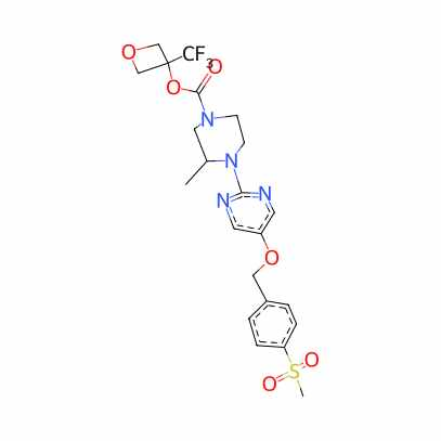 CC1CN(C(=O)OC2(C(F)(F)F)COC2)CCN1c1ncc(OCc2ccc(S(C)(=O)=O)cc2)cn1